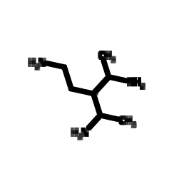 CC(N)[C](CCN)C(C)N